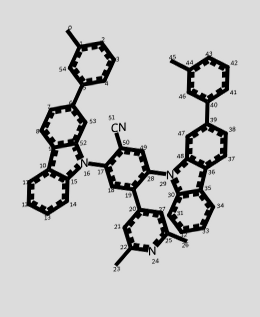 Cc1cccc(-c2ccc3c4ccccc4n(-c4cc(-c5cc(C)nc(C)c5)c(-n5c6ccccc6c6ccc(-c7cccc(C)c7)cc65)cc4C#N)c3c2)c1